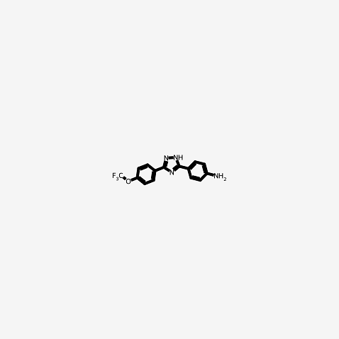 Nc1ccc(-c2nc(-c3ccc(OC(F)(F)F)cc3)n[nH]2)cc1